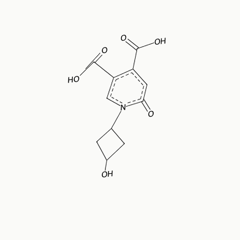 O=C(O)c1cc(=O)n(C2CC(O)C2)cc1C(=O)O